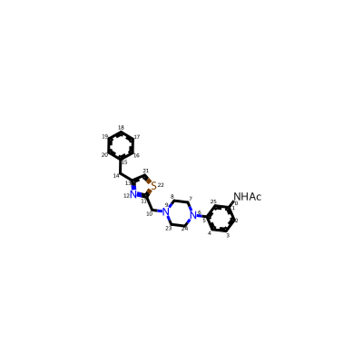 CC(=O)Nc1cccc(N2CCN(Cc3nc(Cc4ccccc4)cs3)CC2)c1